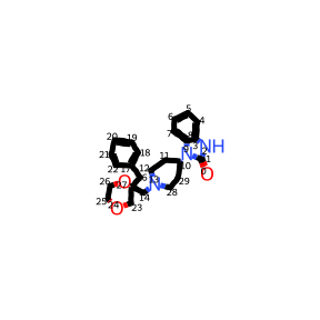 O=c1[nH]c2ccccc2n1C1CCN(CC2(Cc3ccccc3)COCCO2)CC1